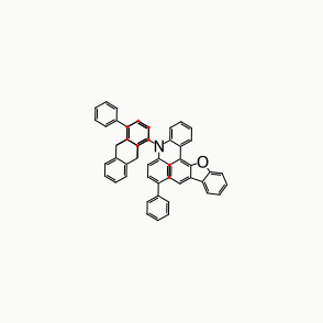 c1ccc(-c2ccc(N(c3ccccc3-c3cccc4c3oc3ccccc34)c3ccc(-c4ccccc4)c4c3C3c5ccccc5C4c4ccccc43)cc2)cc1